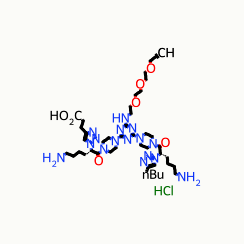 C#CCOCCOCCOCCNc1nc(N2CCN(C(=O)[C@H](CCCCN)n3cc(CCCC)nn3)CC2)nc(N2CCN(C(=O)[C@H](CCCCN)n3cc(CCC(=O)O)nn3)CC2)n1.Cl